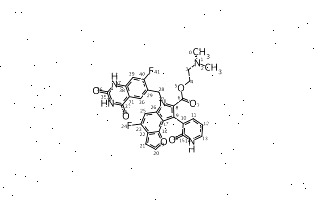 CN(C)CCOC(=O)c1c(-c2ccc[nH]c2=O)c2c3occc3c(F)cc2n1Cc1cc2c(=O)[nH]c(=O)[nH]c2cc1F